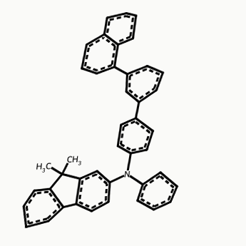 CC1(C)c2ccccc2-c2ccc(N(c3ccccc3)c3ccc(-c4cccc(-c5cccc6ccccc56)c4)cc3)cc21